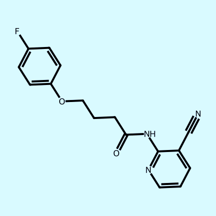 N#Cc1cccnc1NC(=O)CCCOc1ccc(F)cc1